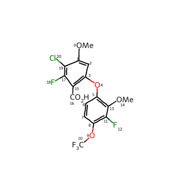 COc1cc(Oc2ccc(OC(F)(F)F)c(F)c2OC)c(C(=O)O)c(F)c1Cl